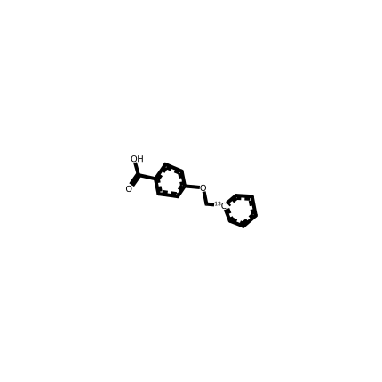 O=C(O)c1ccc(OC[13c]2ccccc2)cc1